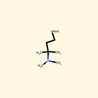 CCCCCCCC(C)(C)N(C)C